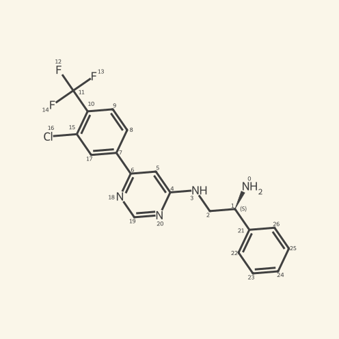 N[C@H](CNc1cc(-c2ccc(C(F)(F)F)c(Cl)c2)ncn1)c1ccccc1